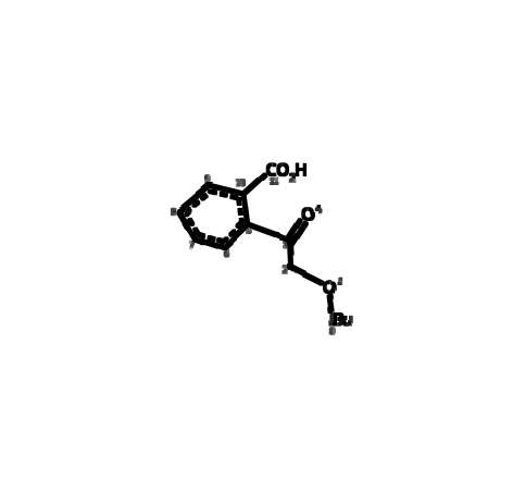 CCC(C)OCC(=O)c1ccccc1C(=O)O